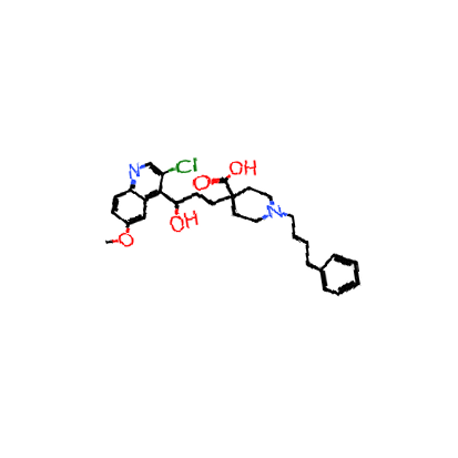 COc1ccc2ncc(Cl)c(C(O)CCC3(C(=O)O)CCN(CCCCc4ccccc4)CC3)c2c1